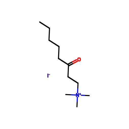 CCCCCC(=O)CC[N+](C)(C)C.[I-]